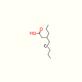 CC[CH2][Cr][CH2]C(CCC)CC(=O)O